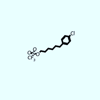 O=S(=O)(OCCCCCCc1ccc(Cl)cc1)C(F)(F)F